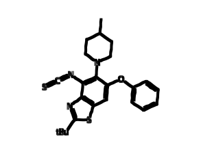 CC1CCN(c2c(Oc3ccccc3)cc3sc(C(C)(C)C)nc3c2N=C=S)CC1